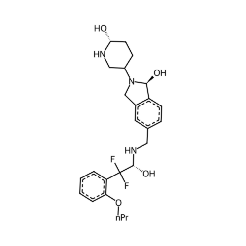 CCCOc1ccccc1C(F)(F)[C@@H](O)NCc1ccc2c(c1)CN(C1CC[C@@H](O)NC1)[C@H]2O